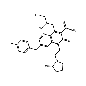 NC(=O)c1c(CC(O)CO)c2ncc(Cc3ccc(F)cc3)cc2n(CCN2CCCC2=O)c1=O